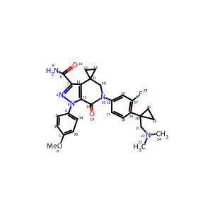 COc1ccc(-n2nc(C(N)=O)c3c2C(=O)N(c2ccc(C4(CN(C)C)CC4)c(F)c2)CC32CC2)cc1